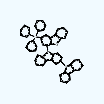 c1ccc([Si](c2ccccc2)(c2ccccc2)c2cc3c(oc4ccccc43)c(-n3c4ccccc4c4cc(-n5c6ccccc6c6ccccc65)ccc43)n2)cc1